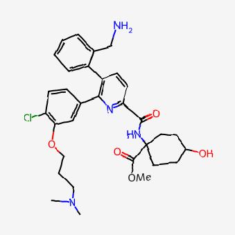 COC(=O)C1(NC(=O)c2ccc(-c3ccccc3CN)c(-c3ccc(Cl)c(OCCCN(C)C)c3)n2)CCC(O)CC1